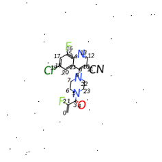 C=C(F)C(=O)N1CCN(c2c(C#N)cnc3c(F)cc(Cl)cc23)CC1